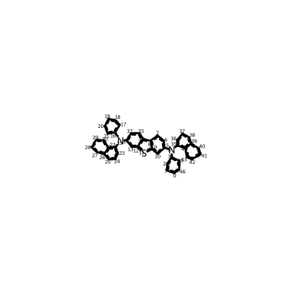 c1ccc(N(c2ccc3c(c2)sc2cc(N(c4ccccc4)c4cccc5ccccc45)ccc23)c2cccc3ccccc23)cc1